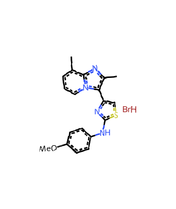 Br.COc1ccc(Nc2nc(-c3c(C)nc4c(C)cccn34)cs2)cc1